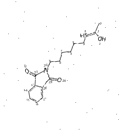 CC(O)=[SH]CCCCCCN1C(=O)c2ccccc2C1=O